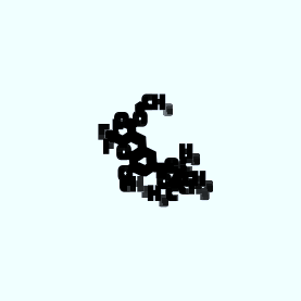 CCOC(=O)C1=Cc2cc(B3OC(C)(C)C(C)(C)O3)cc(OC)c2OC1C(F)(F)F